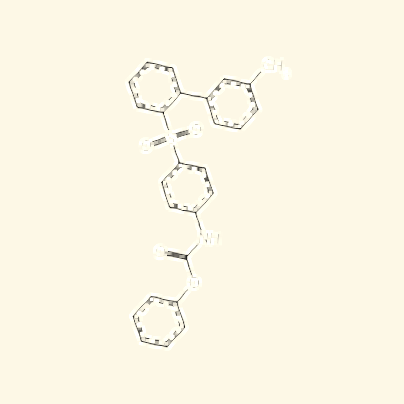 Cc1cccc(-c2ccccc2S(=O)(=O)c2ccc(NC(=O)Oc3ccccc3)cc2)c1